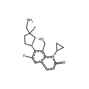 NCC1(F)CCN(c2c(F)cc3ccc(=O)n(C4CC4)c3c2CO)C1